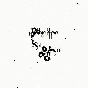 CCCCNC(=O)OCC(=O)NC[C@H]1[C@@H](C/C=C\CCC(F)(F)C(=O)O)[C@H]2CC[C@@H]1O2.O=C(O)CC(F)(F)CC[PH](c1ccccc1)(c1ccccc1)c1ccccc1